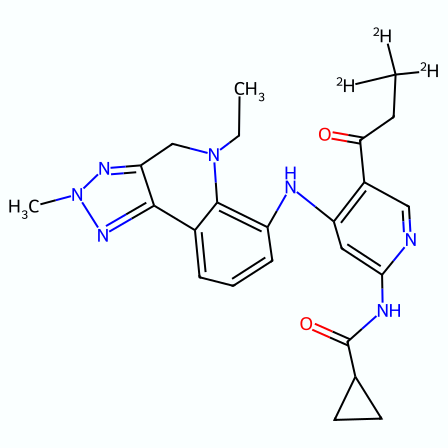 [2H]C([2H])([2H])CC(=O)c1cnc(NC(=O)C2CC2)cc1Nc1cccc2c1N(CC)Cc1nn(C)nc1-2